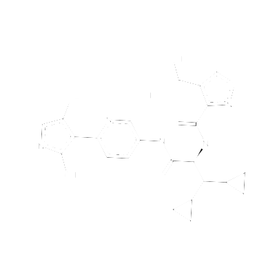 Cc1c[nH]c(C)c1-c1ccc(NC(=O)[C@@H](NC(=O)c2nocc2C(C)C)C(C2CC2)C2CC2)cn1